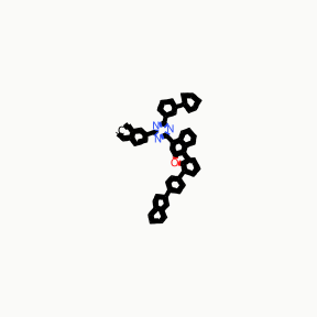 c1ccc(-c2cccc(-c3nc(-c4ccc5ccccc5c4)nc(-c4cc5oc6c(-c7ccc(-c8ccc9ccccc9c8)cc7)cccc6c5c5ccccc45)n3)c2)cc1